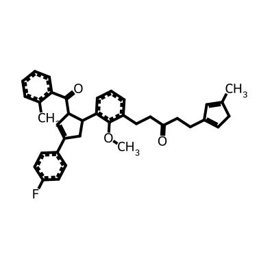 COc1c(CCC(=O)CCC2=CCC(C)=C2)cccc1C1CC(c2ccc(F)cc2)=CC1C(=O)c1ccccc1C